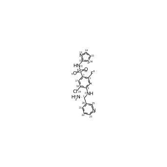 N[C@H](Nc1cc(F)c(S(=O)(=O)Nc2nccs2)cc1Cl)c1cccnc1